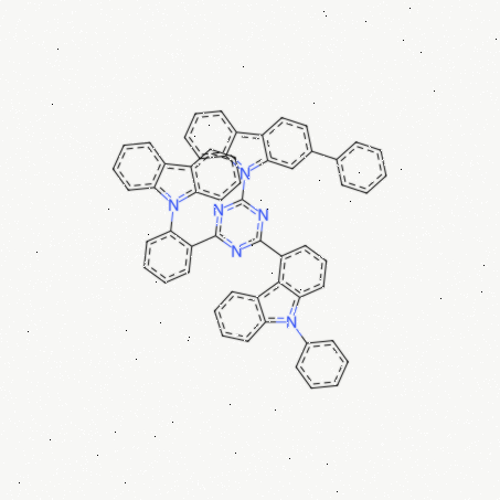 c1ccc(-c2ccc3c4ccccc4n(-c4nc(-c5ccccc5-n5c6ccccc6c6ccccc65)nc(-c5cccc6c5c5ccccc5n6-c5ccccc5)n4)c3c2)cc1